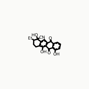 CCC1CCc2c(cc3c(c2O)C(=O)c2c(O)cccc2C3=O)C1(O)C#N